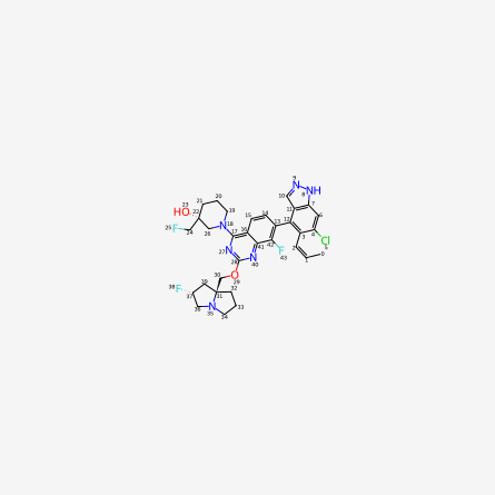 C/C=C\c1c(Cl)cc2[nH]ncc2c1-c1ccc2c(N3CCC[C@](O)(CF)C3)nc(OC[C@@]34CCCN3C[C@H](F)C4)nc2c1F